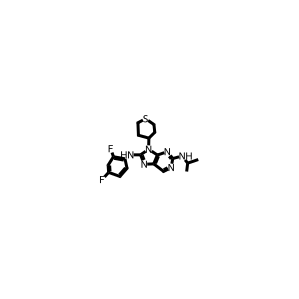 CC(C)Nc1ncc2nc(Nc3ccc(F)cc3F)n(C3CCSCC3)c2n1